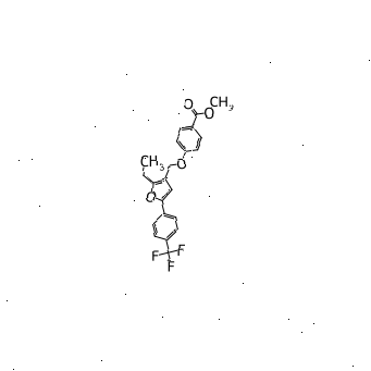 CCc1oc(-c2ccc(C(F)(F)F)cc2)cc1COc1ccc(C(=O)OC)cc1